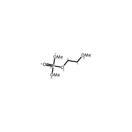 COCCOP(=O)(OC)OC